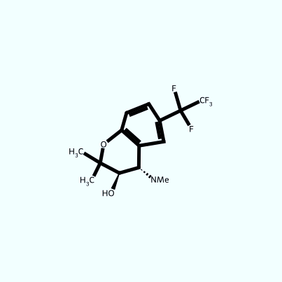 CN[C@H]1c2cc(C(F)(F)C(F)(F)F)ccc2OC(C)(C)[C@@H]1O